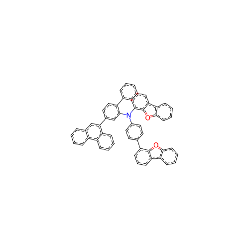 c1ccc(-c2ccc(-c3cc4ccccc4c4ccccc34)cc2N(c2ccc(-c3cccc4c3oc3ccccc34)cc2)c2cccc3c2oc2ccccc23)cc1